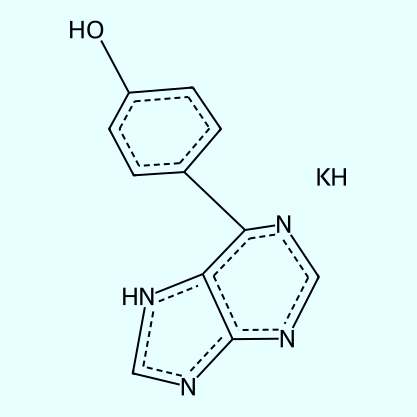 Oc1ccc(-c2ncnc3nc[nH]c23)cc1.[KH]